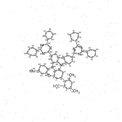 Cc1cc(C)c(-c2cc3c4c(c2)-n2c5ccc(-c6nc(-c7ccccc7)nc(-c7ccccc7)n6)cc5c5cc(-c6nc(-c7ccccc7)nc(-c7ccccc7)n6)cc(c52)B4c2ccc(C(C)(C)C)cc2O3)c(C)c1